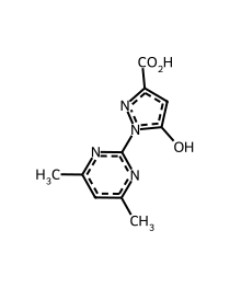 Cc1cc(C)nc(-n2nc(C(=O)O)cc2O)n1